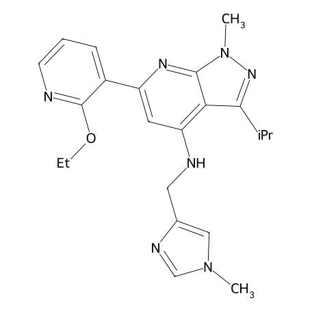 CCOc1ncccc1-c1cc(NCc2cn(C)cn2)c2c(C(C)C)nn(C)c2n1